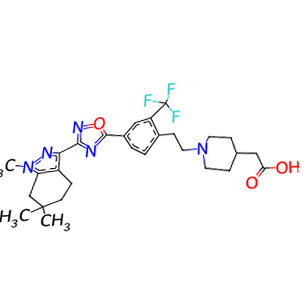 Cn1nc(-c2noc(-c3ccc(CCN4CCC(CC(=O)O)CC4)c(C(F)(F)F)c3)n2)c2c1CC(C)(C)CC2